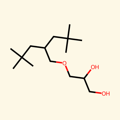 CC(C)(C)CC(COCC(O)CO)CC(C)(C)C